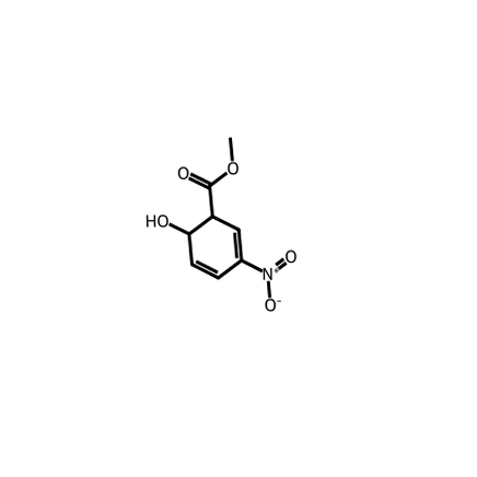 COC(=O)C1C=C([N+](=O)[O-])C=CC1O